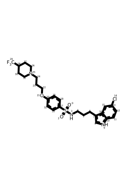 O=S(=O)(NCCCc1c[nH]c2ccc(Cl)cc12)c1ccc(OCCCN2CCC(C(F)(F)F)CC2)cc1